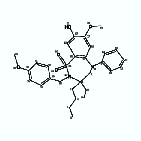 CCCCC1(CC)CN(c2ccccc2)c2cc(OC)c(O)cc2S(=O)(=O)N1Cc1ccc(OC)cc1